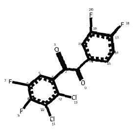 O=C(C(=O)c1cc(F)c(F)c(Cl)c1Cl)c1ccc(F)c(F)c1